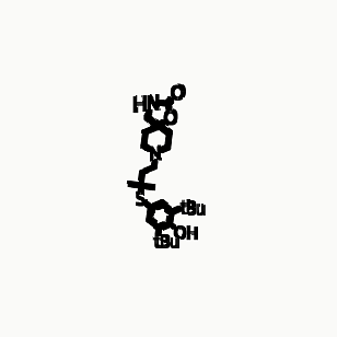 CC(C)(CCN1CCC2(CC1)CNC(=O)O2)Sc1cc(C(C)(C)C)c(O)c(C(C)(C)C)c1